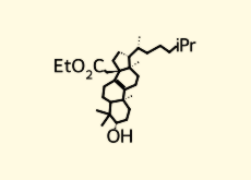 CCOC(=O)C[C@@]12CC[C@H]([C@H](C)CCCC(C)C)[C@@]1(C)CCC1=C2CCC2C(C)(C)[C@@H](O)CC[C@]12C